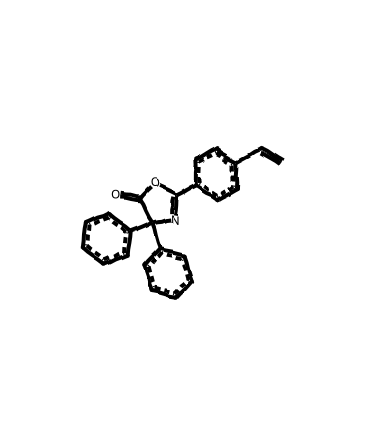 C=Cc1ccc(C2=NC(c3ccccc3)(c3ccccc3)C(=O)O2)cc1